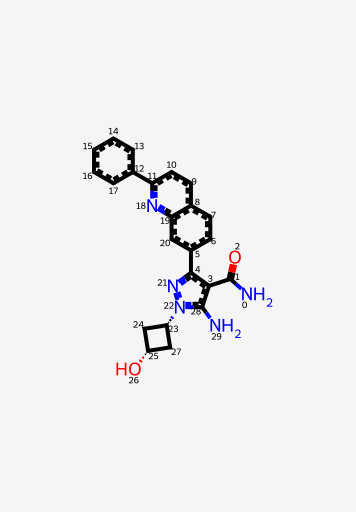 NC(=O)c1c(-c2ccc3ccc(-c4ccccc4)nc3c2)nn([C@H]2C[C@@H](O)C2)c1N